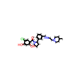 CC1CCN(CCNCc2cccc(C3CCCN3C(=O)c3cc(Cl)c(O)cc3O)c2)CC1